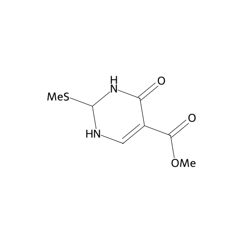 COC(=O)C1=CNC(SC)NC1=O